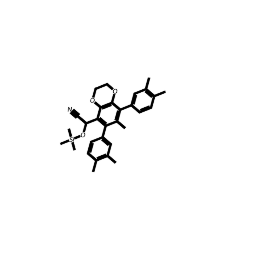 Cc1ccc(-c2c(C)c(-c3ccc(C)c(C)c3)c(C(C#N)O[Si](C)(C)C)c3c2OCCO3)cc1C